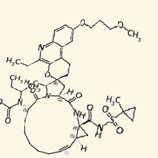 CCc1nc2ccc(OCCCOC)cc2c2c1O[C@]1(CC2)C[C@H]2C(=O)N[C@]3(C(=O)NS(=O)(=O)C4(C)CC4)C[C@H]3/C=C\CCCCC[C@H](N(C(=O)O)C(C)CC)C(=O)N2C1C